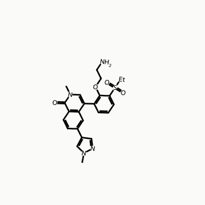 CCS(=O)(=O)c1cccc(-c2cn(C)c(=O)c3ccc(-c4cnn(C)c4)cc23)c1OCCN